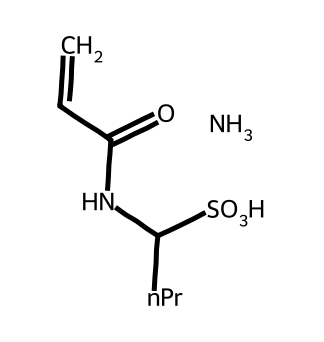 C=CC(=O)NC(CCC)S(=O)(=O)O.N